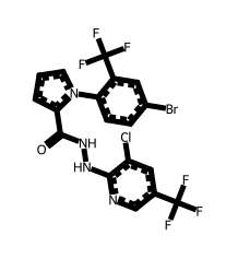 O=C(NNc1ncc(C(F)(F)F)cc1Cl)c1cccn1-c1ccc(Br)cc1C(F)(F)F